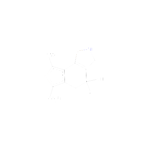 CCOC(=O)c1sc(SC)c2c1CC(C)(C)C1=C2SNC1